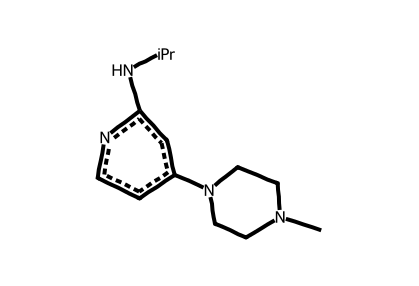 CC(C)Nc1cc(N2CCN(C)CC2)ccn1